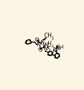 CCCn1c(=O)n(CCc2ccccc2)c(=O)c2c1nc(C)n2Cc1ccc(-c2ccccc2-c2nnn[nH]2)cc1